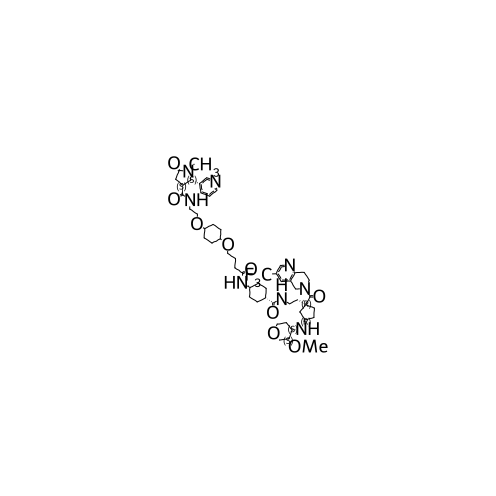 CO[C@@H]1COCC[C@@H]1N[C@@H]1CC[C@](CCNC(=O)[C@H]2CC[C@H](NC(=O)CCCO[C@H]3CC[C@H](OCCNC(=O)[C@H]4CC(=O)N(C)[C@@H]4c4cccnc4)CC3)CC2)(C(=O)N2CCc3ncc(C(F)(F)F)cc3C2)C1